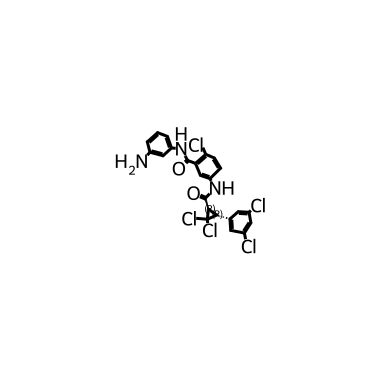 Nc1cccc(NC(=O)c2cc(NC(=O)[C@H]3[C@H](c4cc(Cl)cc(Cl)c4)C3(Cl)Cl)ccc2Cl)c1